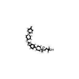 Cc1cnc(N2CCC(Oc3nc4ccc(N5CCN(S(=O)(=O)CCC(C)(C)O)CC5)cc4s3)CC2)nc1